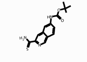 CC(C)(C)OC(=O)Nc1ccc2cnc(C(N)=S)cc2c1